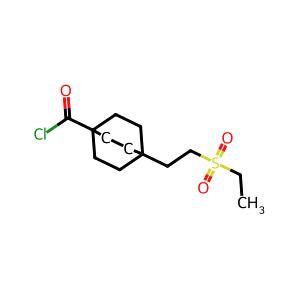 CCS(=O)(=O)CCC12CCC(C(=O)Cl)(CC1)CC2